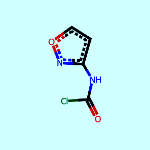 O=C(Cl)Nc1ccon1